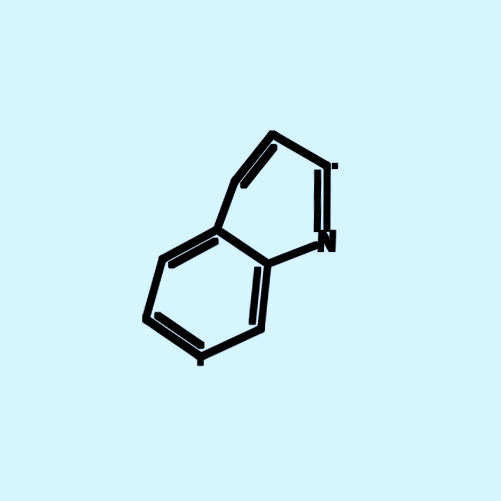 [c]1ccc2cc[c]nc2c1